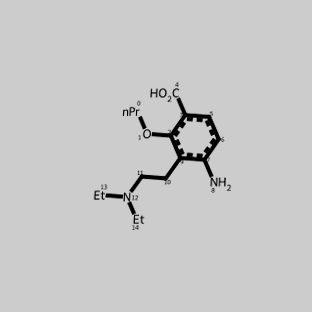 CCCOc1c(C(=O)O)ccc(N)c1CCN(CC)CC